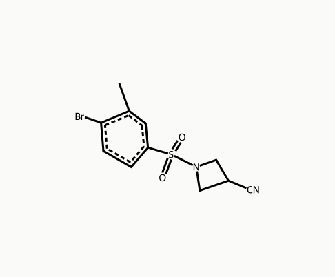 Cc1cc(S(=O)(=O)N2CC(C#N)C2)ccc1Br